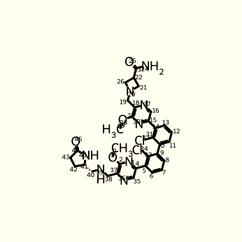 COc1nc(-c2cccc(-c3cccc(-c4cnc(CN5CC(C(N)=O)C5)c(OC)n4)c3Cl)c2Cl)cnc1CNC[C@@H]1CCC(=O)N1